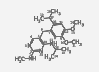 CNc1ncc(Cc2cc(OC)c(OC)cc2C(C)C)c(NC(C)C)n1